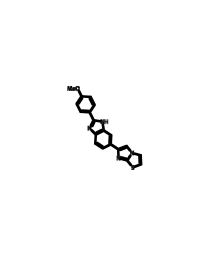 COc1ccc(-c2nc3ccc(-c4cn5ccsc5n4)cc3[nH]2)cc1